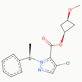 CO[C@H]1C[C@@H](OC(=O)c2c(Cl)cnn2[C@H](C)c2ccccc2)C1